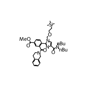 CCCCN(CCCC)C(=O)c1cn(COCC[Si](C)(C)C)c(-c2ccc(C(=O)OC)cc2C(=O)N2CCc3ccccc3C2)n1